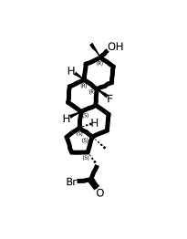 C[C@@]1(O)CC[C@]2(F)C3CC[C@@]4(C)[C@H](CC(=O)Br)CC[C@H]4[C@@H]3CC[C@@H]2C1